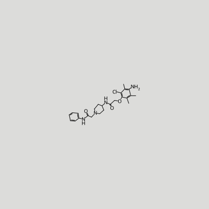 Cc1c(C)c(OCC(=O)NC2CCN(CC(=O)Nc3ccccc3)CC2)c(Cl)c(C)c1N